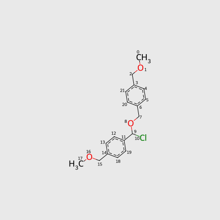 COCc1ccc(COC(Cl)c2ccc(COC)cc2)cc1